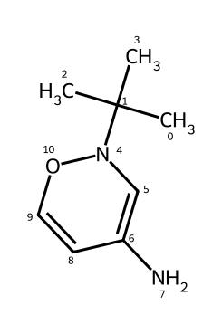 CC(C)(C)N1C=C(N)C=CO1